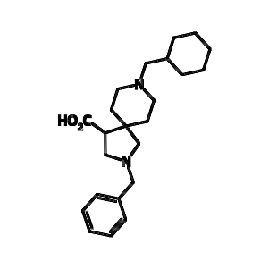 O=C(O)C1CN(Cc2ccccc2)CC12CCN(CC1CCCCC1)CC2